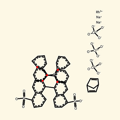 C1=CC2C=CC1C2.O=S(=O)([O-])c1cccc2c(-c3c(P(c4ccccc4)c4ccccc4)ccc4c(S(=O)(=O)[O-])cccc34)c(P(c3ccccc3)c3ccccc3)ccc12.[Na+].[Na+].[O-][Cl+3]([O-])([O-])[O-].[O-][Cl+3]([O-])([O-])[O-].[O-][Cl+3]([O-])([O-])[O-].[Rh+3]